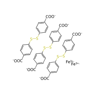 O=C([O-])c1ccc(SSc2ccc(C(=O)[O-])cc2)cc1.O=C([O-])c1ccc(SSc2ccc(C(=O)[O-])cc2)cc1.O=C([O-])c1ccc(SSc2ccc(C(=O)[O-])cc2)cc1.[Fe+3].[Fe+3]